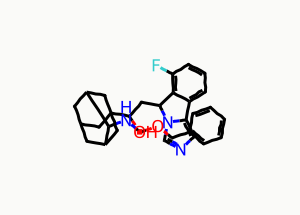 OC(CC1c2c(F)cccc2-c2cncn21)C12CC3CC(C1)C(NCOCc1ccccc1)C(C3)C2